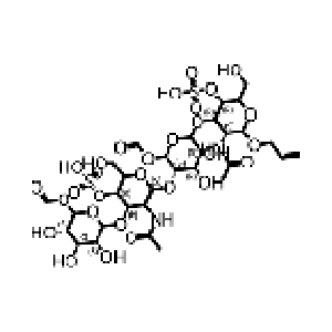 C=CCOC1OC(CO)[C@H](OS(=O)(=O)O)[C@H](OC2OC(OC=O)[C@@H](O[C@@H]3OC(CO)[C@H](OS(=O)(=O)O)[C@H](OC4OC(OC=O)[C@@H](O)[C@H](O)[C@@H]4O)C3NC(C)=O)[C@H](O)[C@@H]2O)[C@@H]1NC(C)=O